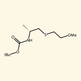 COCCSC[C@@H](C)NC(=O)OC(C)(C)C